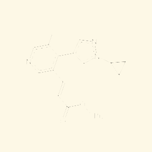 CC(C)(C)OC(=O)C=Cc1cncc(F)c1-c1cnn(C2CC2)c1